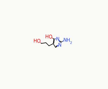 Nc1ncc(CCCO)c(O)n1